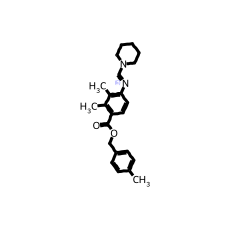 Cc1ccc(COC(=O)c2ccc(/N=C/N3CCCCC3)c(C)c2C)cc1